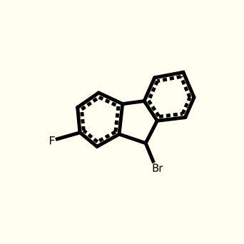 Fc1ccc2c(c1)C(Br)c1ccccc1-2